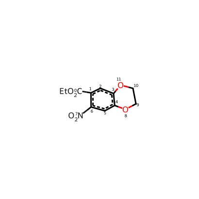 CCOC(=O)c1cc2c(cc1[N+](=O)[O-])OCCO2